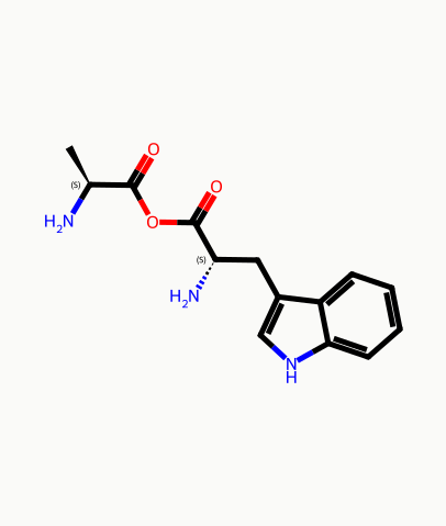 C[C@H](N)C(=O)OC(=O)[C@@H](N)Cc1c[nH]c2ccccc12